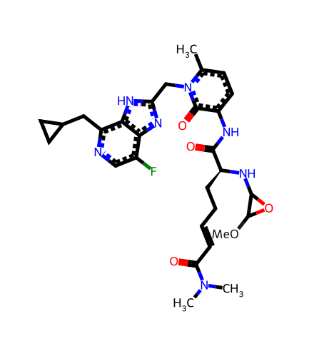 COC1OC1N[C@@H](CC/C=C/C(=O)N(C)C)C(=O)Nc1ccc(C)n(Cc2nc3c(F)cnc(CC4CC4)c3[nH]2)c1=O